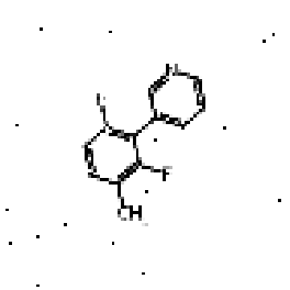 Cc1ccc(F)c(-c2cccnc2)c1F